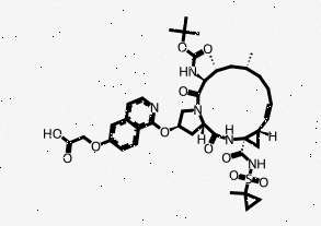 C[C@@H]1CCC=C[C@@H]2C[C@@]2(C(=O)NS(=O)(=O)C2(C)CC2)NC(=O)[C@@H]2C[C@@H](Oc3nccc4cc(OCC(=O)O)ccc34)CN2C(=O)[C@@H](NC(=O)OC(C)(C)C)[C@H](C)C1